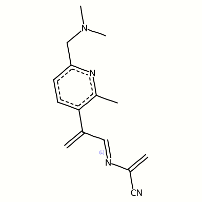 C=C(C#N)/N=C/C(=C)c1ccc(CN(C)C)nc1C